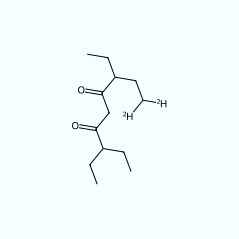 [2H]C([2H])CC(CC)C(=O)CC(=O)C(CC)CC